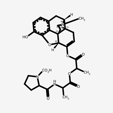 CC(NC(=O)C1CCCN1C(=O)O)C(=O)OC(C)C(=O)OC1=CC[C@@]2(O)[C@H]3Cc4ccc(O)c5c4[C@@]2(CCN3C)[C@H]1O5